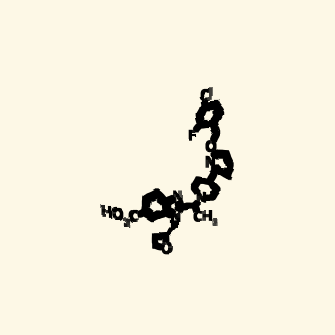 CC(c1nc2ccc(C(=O)O)cc2n1C[C@@H]1CCO1)N1CCC(c2cccc(OCc3ccc(Cl)cc3F)n2)CC1